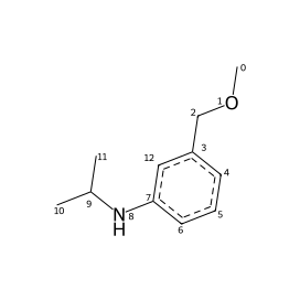 COCc1cccc(NC(C)C)c1